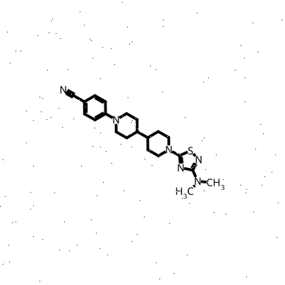 CN(C)c1nsc(N2CCC(C3CCN(c4ccc(C#N)cc4)CC3)CC2)n1